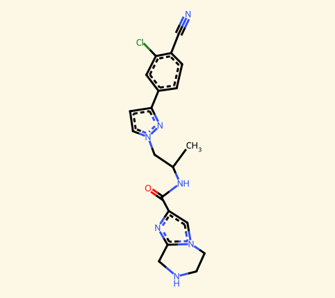 CC(Cn1ccc(-c2ccc(C#N)c(Cl)c2)n1)NC(=O)c1cn2c(n1)CNCC2